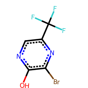 Oc1ncc(C(F)(F)F)nc1Br